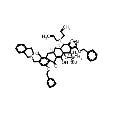 C=CCN(CC=C)[C@@H]1c2onc(OCc3ccccc3)c2C(=O)C2(O[Si](C)(C)C(C)(C)C)C(O)=C3C(=O)c4c(OCc5ccccc5)cc(CN5CCc6ccccc6C5)c(Cl)c4C[C@H]3C[C@@H]12